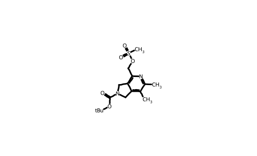 Cc1nc(COS(C)(=O)=O)c2c(c1C)CN(C(=O)OC(C)(C)C)C2